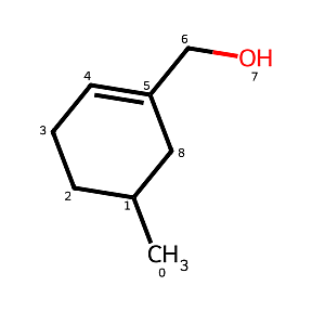 CC1CCC=C(CO)C1